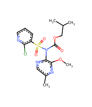 COc1nc(C)cnc1N(C(=O)OCC(C)C)S(=O)(=O)c1cccnc1Cl